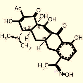 CC(=O)C1=C(O)[C@@H](N(C)C)[C@@H]2C[C@@H]3Cc4c(/C(C)=N\O)ccc(O)c4C(=O)C3=C(O)[C@]2(O)C1=O